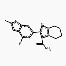 Cn1cc2c(F)cc(-c3nn4c(c3C(N)=O)CCCC4)cc2n1